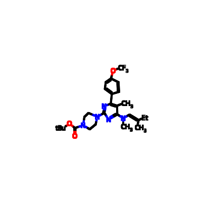 CC/C(C)=C/N(C)c1nc(N2CCN(C(=O)OC(C)(C)C)CC2)nc(-c2ccc(OC(F)(F)F)cc2)c1C